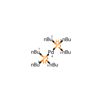 CCCC[PH](CCCC)(CCCC)[Pd][PH](CCCC)(CCCC)CCCC